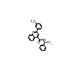 O=C(N[C@H](c1ccccc1)C(F)(F)F)c1cc(-c2cccc(C(F)(F)F)c2)nc2ccccc12